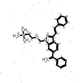 C=C(c1ccccc1)c1ccc2c(C=Cc3ccccc3)nn(COCC[Si](C)(C)C)c2c1